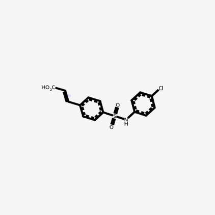 O=C(O)/C=C/c1ccc(S(=O)(=O)Nc2ccc(Cl)cc2)cc1